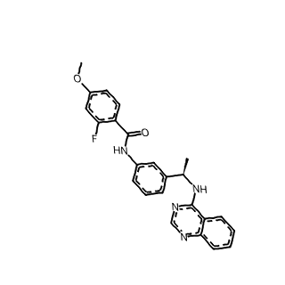 COc1ccc(C(=O)Nc2cccc([C@@H](C)Nc3ncnc4ccccc34)c2)c(F)c1